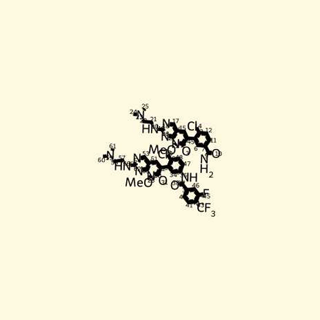 COn1c(=O)c(-c2cc(C(N)=O)ccc2Cl)cc2cnc(NCCN(C)C)nc21.COn1c(=O)c(-c2cc(NC(=O)c3ccc(C(F)(F)F)c(F)c3)ccc2Cl)cc2cnc(NCCN(C)C)nc21